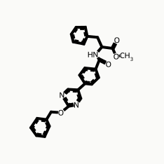 COC(=O)C(Cc1ccccc1)NC(=O)c1ccc(-c2cnc(OCc3ccccc3)nc2)cc1